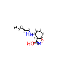 C=CCN[C@@H]1CCCc2onc(O)c21